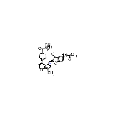 CN(C)C(=O)C1CCN(c2ccnc3c2c(/C=C2\Oc4ccc(NC(=O)C(F)(F)F)cc4C2=O)cn3C)CC1